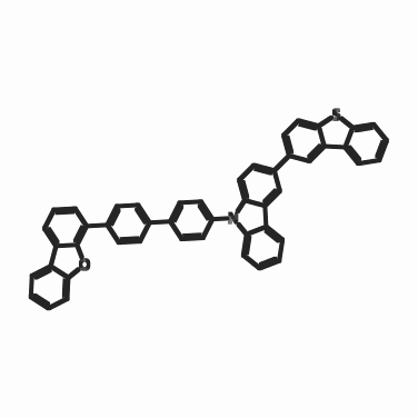 c1ccc2c(c1)oc1c(-c3ccc(-c4ccc(-n5c6ccccc6c6cc(-c7ccc8sc9ccccc9c8c7)ccc65)cc4)cc3)cccc12